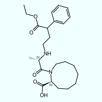 CCOC(=O)C(CCN[C@@H](C)C(=O)N1CCCCCCC[C@H]1C(=O)O)c1ccccc1